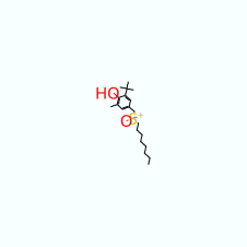 CCCCCCCC[S+]([O-])Cc1cc(C)c(O)c(C(C)(C)C)c1